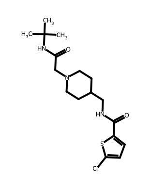 CC(C)(C)NC(=O)CN1CCC(CNC(=O)c2ccc(Cl)s2)CC1